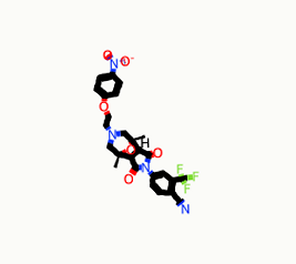 C[C@]12CN(CCOc3ccc([N+](=O)[O-])cc3)C[C@](C)(O1)C1C(=O)N(c3ccc(C#N)c(C(F)(F)F)c3)C(=O)[C@H]12